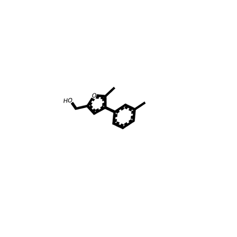 Cc1cccc(-c2cc(CO)oc2C)c1